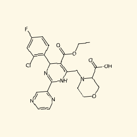 CCOC(=O)C1=C(CN2CCOCC2C(=O)O)NC(c2cnccn2)=NC1c1ccc(F)cc1Cl